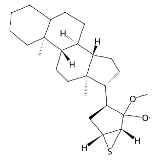 COC1([O])[C@@H]2S[C@@H]2C[C@H]1[C@H]1CC[C@H]2[C@@H]3CCC4CCCC[C@]4(C)[C@H]3CC[C@]12C